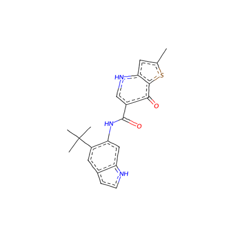 Cc1cc2[nH]cc(C(=O)Nc3cc4[nH]ccc4cc3C(C)(C)C)c(=O)c2s1